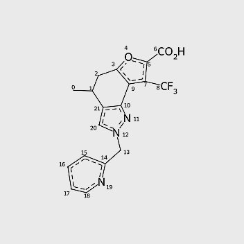 CC1Cc2oc(C(=O)O)c(C(F)(F)F)c2-c2nn(Cc3ccccn3)cc21